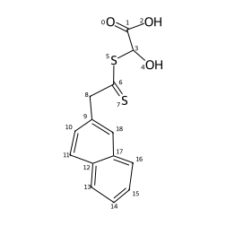 O=C(O)C(O)SC(=S)Cc1ccc2ccccc2c1